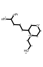 CCCC(CCC)CCCC1COCC[N+]1CCO